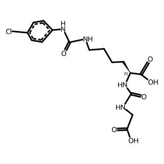 O=C(O)CNC(=O)N[C@@H](CCCCNC(=O)Nc1ccc(Cl)cc1)C(=O)O